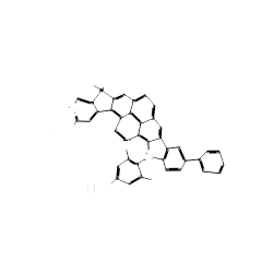 Cc1cc(C)c(-n2c3ccc(-c4ccccc4)cc3c3cc4ccc5cc6c(c7ccc(c4c57)c32)-c2cc(C)ncc2C6(C)C)c(C)c1